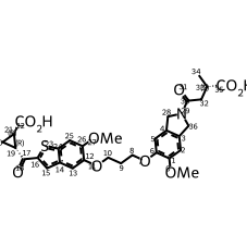 COc1cc2c(cc1OCCCOc1cc3cc(C(=O)[C@@H]4C[C@H]4C(=O)O)sc3cc1OC)CN(C(=O)C[C@H](C)C(=O)O)C2